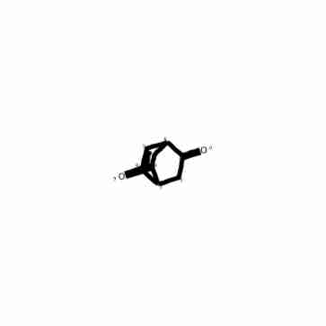 O=C1CC2C=CC1CC2=O